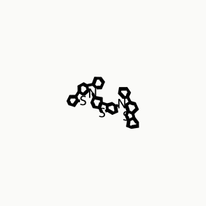 c1ccc2c(c1)sc1c2ccc2c3ccccc3n(-c3ccc4sc5ccc(-n6c7ccccc7c7ccc8c9ccccc9sc8c76)cc5c4c3)c21